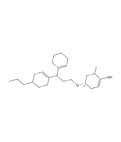 CCCC1CC=C(C(CCO[C@H]2CC=C(O)C(C)C2)C2=CCCCC2)CC1